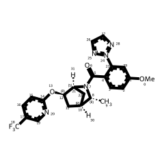 COc1ccc(C(=O)N2[C@H](C)[C@H]3C[C@@H](Oc4ccc(C(F)(F)F)cn4)[C@@H]2C3)c(-n2nccn2)c1